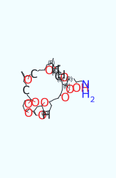 C=C1CC2CCC34CCCOC5C(O[C@H]6CCC(CC(=O)CC7[C@H](C[C@H]8OC(CCC1O2)C[C@@H](C)C8=C)O[C@H](CC(O)CN)[C@@H]7OC)OC6C5O3)C(C)O4